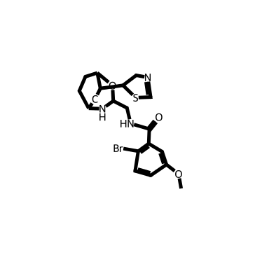 COc1ccc(Br)c(C(=O)NCC2NC3CCC(O2)C(C2CN=CS2)C3)c1